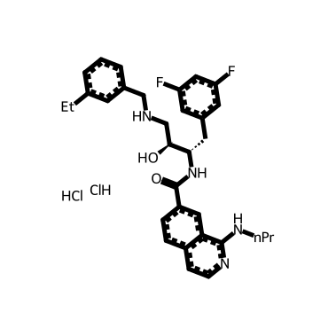 CCCNc1nccc2ccc(C(=O)N[C@@H](Cc3cc(F)cc(F)c3)[C@@H](O)CNCc3cccc(CC)c3)cc12.Cl.Cl